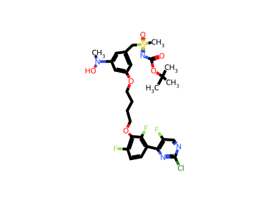 CN(O)c1cc(CS(C)(=O)=NC(=O)OC(C)(C)C)cc(OCCCCOc2c(F)ccc(-c3nc(Cl)ncc3F)c2F)c1